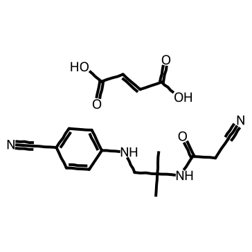 CC(C)(CNc1ccc(C#N)cc1)NC(=O)CC#N.O=C(O)/C=C/C(=O)O